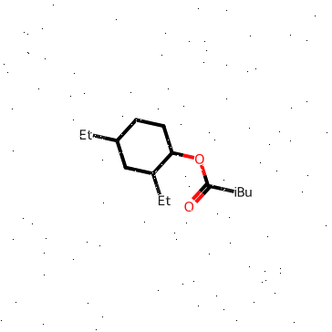 CCC1CCC(OC(=O)C(C)CC)C(CC)C1